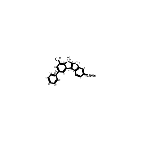 COc1ccc2c(c1)oc1[nH]c3c(Cl)cc(-c4ccccc4)cc3c12